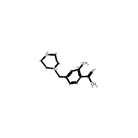 CC(=O)c1ccc(CN2CCOCC2)cc1C